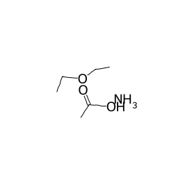 CC(=O)O.CCOCC.N